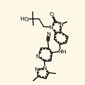 Cc1cc(C)n(-c2cc(Nc3ccc4c(c3)n(CCC(C)(C)O)c(=O)n4C)c(C#N)cn2)n1